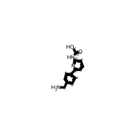 NCc1ccc(-c2cccc(NC(=O)O)n2)cc1